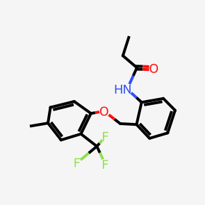 CCC(=O)Nc1ccccc1COc1ccc(C)cc1C(F)(F)F